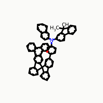 CC1(C)c2ccccc2-c2ccc(N(c3ccc(-c4ccc5c(c4)C4(c6ccccc6-5)c5ccccc5-c5cc6c7ccccc7c7ccccc7c6cc54)cc3)c3ccc4ccccc4c3)cc21